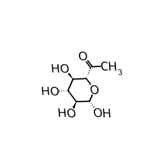 CC(=O)[C@@H]1O[C@H](O)[C@@H](O)[C@H](O)[C@H]1O